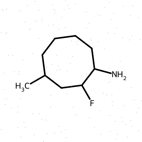 CC1CCCCC(N)C(F)C1